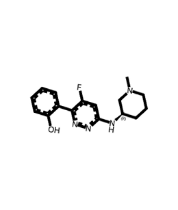 CN1CCC[C@@H](Nc2cc(F)c(-c3ccccc3O)nn2)C1